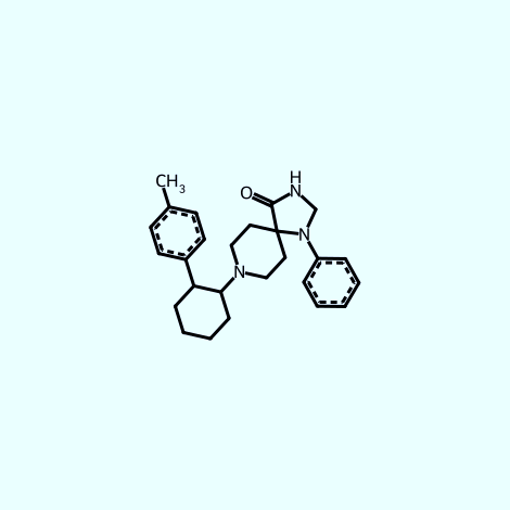 Cc1ccc(C2CCCCC2N2CCC3(CC2)C(=O)NCN3c2ccccc2)cc1